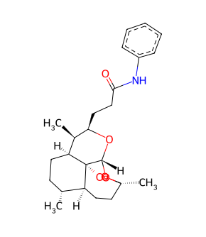 C[C@H]1[C@@H](CCC(=O)Nc2ccccc2)O[C@@H]2O[C@]3(C)CC[C@H]4[C@H](C)CC[C@@H]1[C@@]24OO3